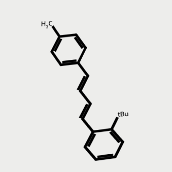 Cc1ccc(C=CC=Cc2ccccc2C(C)(C)C)cc1